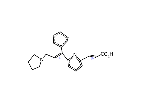 O=C(O)/C=C/c1cccc(/C(=C/CN2CCCC2)c2ccccc2)n1